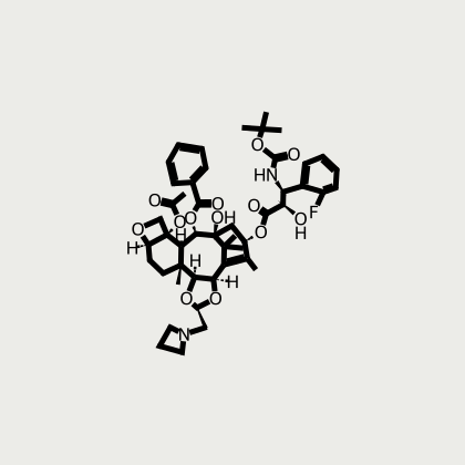 CC(=O)O[C@@]12CO[C@@H]1CC[C@@]1(C)[C@@H]3O[C@H](CN4CCC4)O[C@@H]3C3=C(C)[C@@H](OC(=O)[C@H](O)[C@@H](NC(=O)OC(C)(C)C)c4ccccc4F)C[C@@](O)([C@@H](OC(=O)c4ccccc4)[C@@H]12)C3(C)C